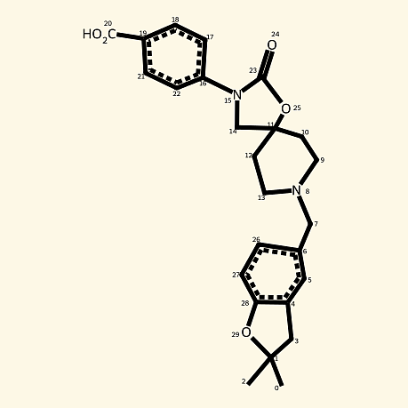 CC1(C)Cc2cc(CN3CCC4(CC3)CN(c3ccc(C(=O)O)cc3)C(=O)O4)ccc2O1